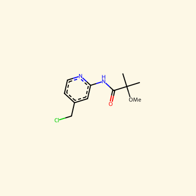 COC(C)(C)C(=O)Nc1cc(CCl)ccn1